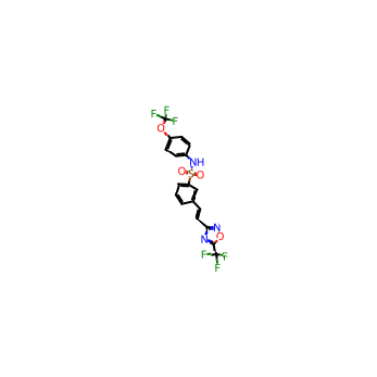 O=S(=O)(Nc1ccc(OC(F)(F)F)cc1)c1cccc(/C=C/c2noc(C(F)(F)F)n2)c1